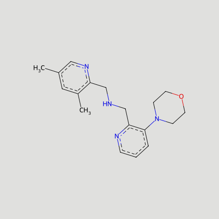 Cc1cnc(CNCc2ncccc2N2CCOCC2)c(C)c1